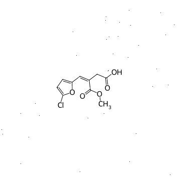 COC(=O)C(=Cc1ccc(Cl)o1)CC(=O)O